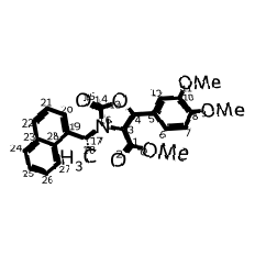 COC(=O)C1C(c2ccc(OC)c(OC)c2)OC(=O)N1[C@H](C)c1cccc2ccccc12